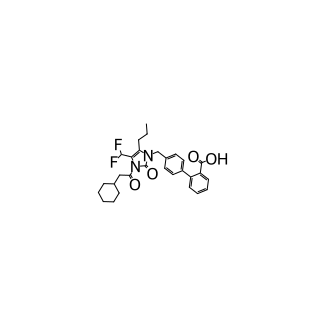 CCCc1c(C(F)F)n(C(=O)CC2CCCCC2)c(=O)n1Cc1ccc(-c2ccccc2C(=O)O)cc1